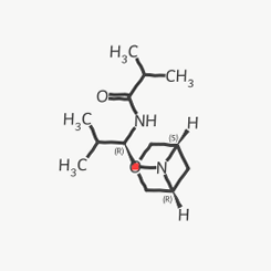 CC(C)C(=O)N[C@@H](CN1[C@@H]2COC[C@H]1C2)C(C)C